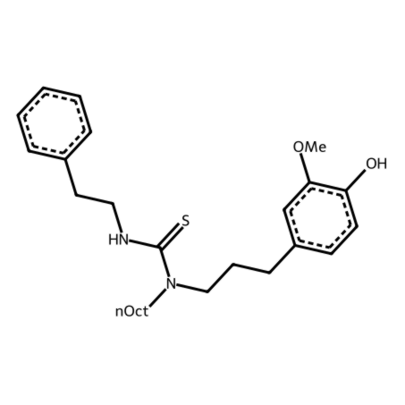 CCCCCCCCN(CCCc1ccc(O)c(OC)c1)C(=S)NCCc1ccccc1